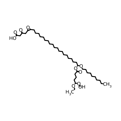 CCCCCCCCCCOC(CCCCCCCCCCCCCCCCCCCC1OC1CC(=O)CC(=O)O)OC(=O)CCCC(OO)OCC